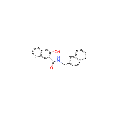 O=C(NCc1ccc2ccccc2c1)c1cc2ccccc2cc1O